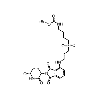 CC(C)(C)OC(=O)NCCCCS(=O)(=O)CCCNc1cccc2c1C(=O)N(C1CCC(=O)NC1=O)C2=O